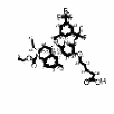 CCOC(=O)N1c2ccc(C)cc2[C@@H](N(Cc2cc(C(F)(F)F)cc(C(F)(F)F)c2)c2ccc(OCCCCC(=O)O)cn2)C[C@H]1CC